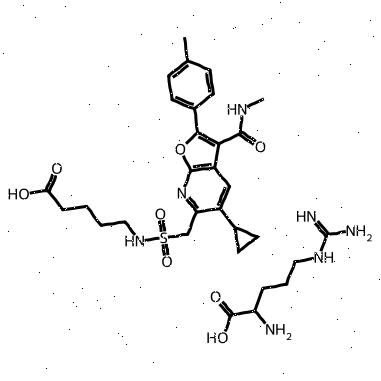 CNC(=O)c1c(-c2ccc(C)cc2)oc2nc(CS(=O)(=O)NCCCCC(=O)O)c(C3CC3)cc12.N=C(N)NCCCC(N)C(=O)O